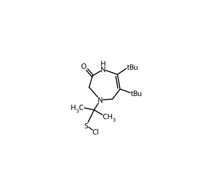 CC(C)(C)C1=C(C(C)(C)C)NC(=O)CN(C(C)(C)SCl)C1